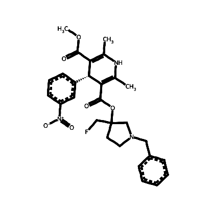 COC(=O)C1=C(C)NC(C)=C(C(=O)OC2(CF)CCN(Cc3ccccc3)C2)[C@@H]1c1cccc([N+](=O)[O-])c1